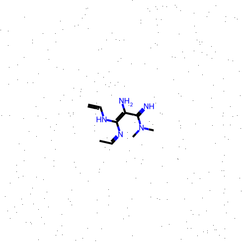 C=CNC(/N=C\C)=C(\N)C(=N)N(C)C